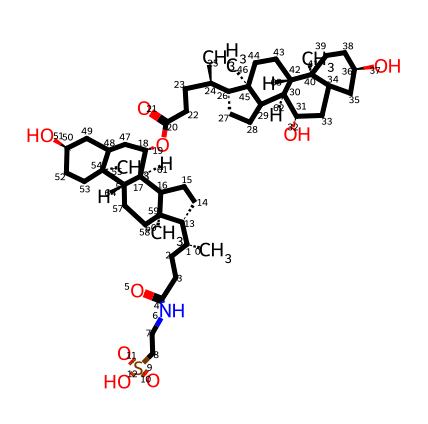 C[C@H](CCC(=O)NCCS(=O)(=O)O)[C@H]1CCC2[C@@H]3[C@@H](OC(=O)CC[C@@H](C)[C@H]4CCC5[C@@H]6[C@@H](O)CC7C[C@H](O)CC[C@]7(C)[C@H]6CC[C@@]54C)CC4C[C@H](O)CC[C@]4(C)[C@H]3CC[C@@]21C